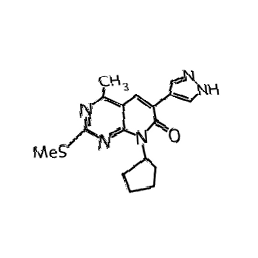 CSc1nc(C)c2cc(-c3cn[nH]c3)c(=O)n(C3CCCC3)c2n1